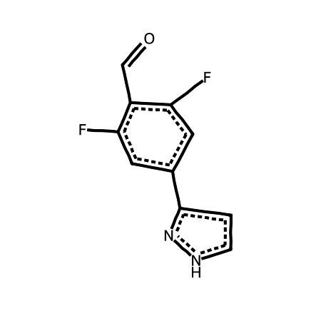 O=Cc1c(F)cc(-c2cc[nH]n2)cc1F